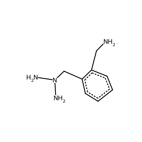 NCc1ccccc1CN(N)N